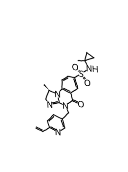 C=Cc1ccc(CN2C(=O)c3cc(S(=O)(=O)NC4(C)CC4)ccc3N3C2=NC[C@H]3C)cn1